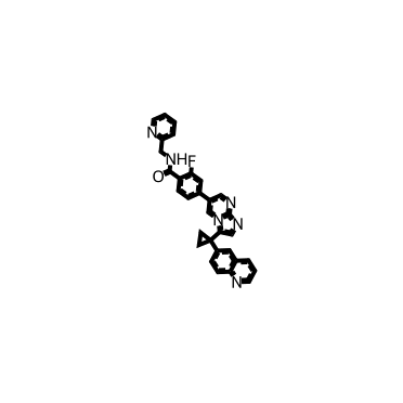 O=C(NCc1ccccn1)c1ccc(-c2cnc3ncc(C4(c5ccc6ncccc6c5)CC4)n3c2)cc1F